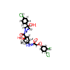 O=C(COc1ccc(Cl)c(F)c1)NC12CCC(C(=O)N3CC(O)(c4ccc(Cl)cc4)C3)(CC1)[C@H](O)C2